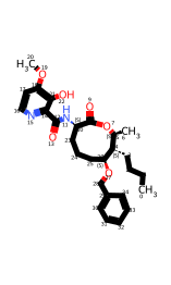 CCCC[C@H]1[C@H](C)OC(=O)[C@@H](NC(=O)c2nccc(OC)c2O)CCC[C@@H]1OCc1ccccc1